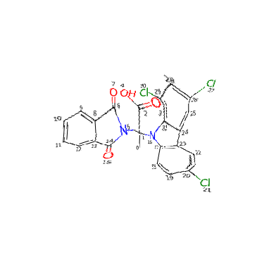 CC(C(=O)O)(N1C(=O)c2ccccc2C1=O)n1c2ccc(Cl)cc2c2cc(Cl)cc(Cl)c21